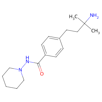 CC(C)(N)CCc1ccc(C(=O)NN2CCCCC2)cc1